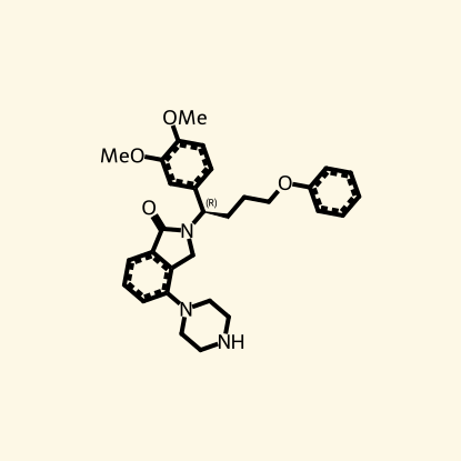 COc1ccc([C@@H](CCCOc2ccccc2)N2Cc3c(cccc3N3CCNCC3)C2=O)cc1OC